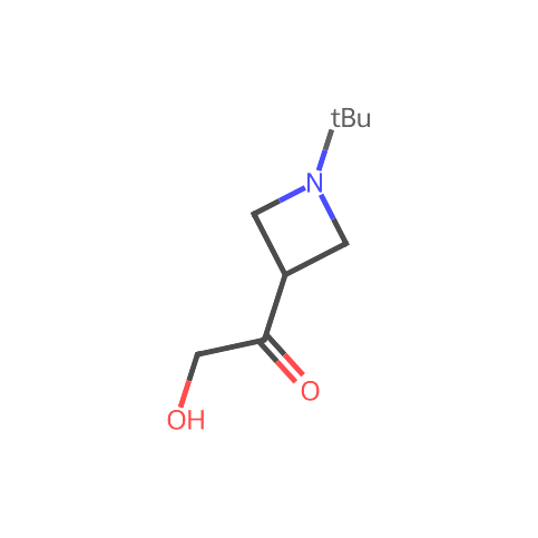 CC(C)(C)N1CC(C(=O)CO)C1